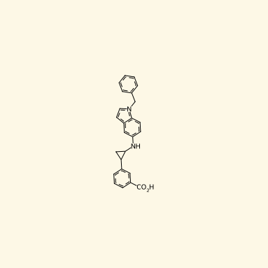 O=C(O)c1cccc(C2CC2Nc2ccc3c(ccn3Cc3ccccc3)c2)c1